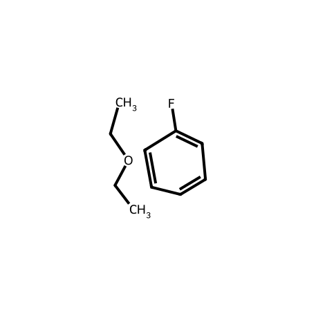 CCOCC.Fc1ccccc1